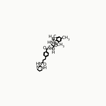 Cc1cc(C)c(S(=O)(=O)N[C@@H](CNC(=O)c2ccc(CCC(=O)NC3=NCCCN3)cc2)C(=O)O)c(C)c1